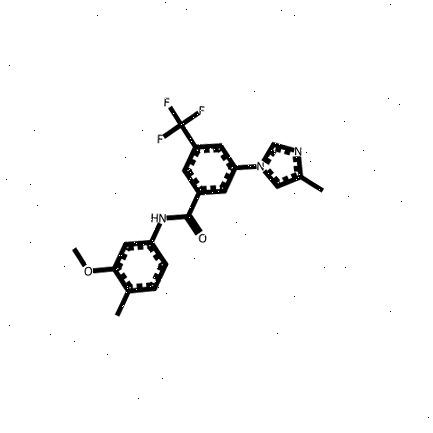 COc1cc(NC(=O)c2cc(-n3cnc(C)c3)cc(C(F)(F)F)c2)ccc1C